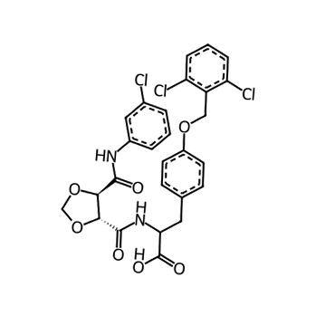 O=C(O)C(Cc1ccc(OCc2c(Cl)cccc2Cl)cc1)NC(=O)[C@@H]1OCO[C@H]1C(=O)Nc1cccc(Cl)c1